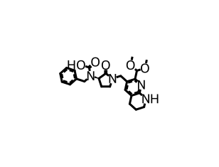 COC(OC)c1nc2c(cc1CN1CC[C@@H](N(Cc3ccccc3)C(=O)O)C1=O)CCCN2